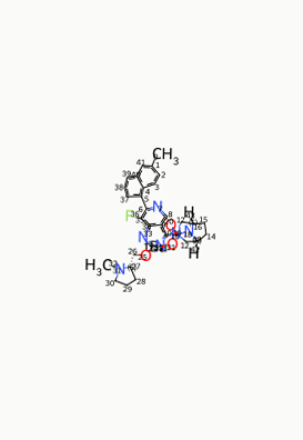 Cc1ccc2c(-c3ncc4c(N5C[C@H]6CC[C@@H](C5)N6C(=O)OC(C)(C)C)nc(OC[C@@H]5CCCN5C)nc4c3F)cccc2c1